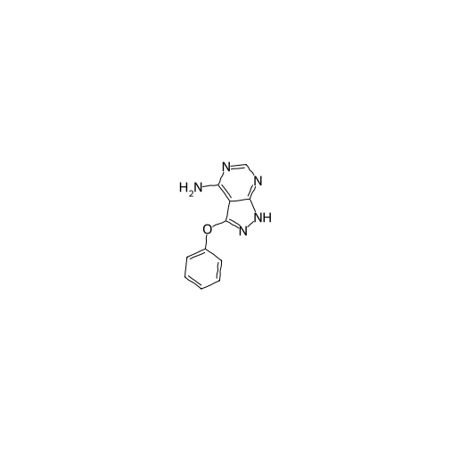 Nc1ncnc2[nH]nc(Oc3ccccc3)c12